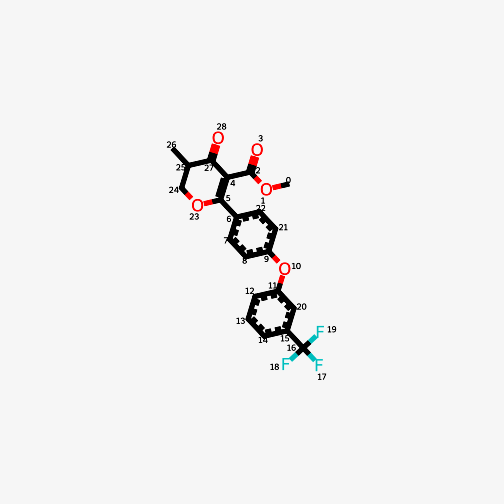 COC(=O)C1=C(c2ccc(Oc3cccc(C(F)(F)F)c3)cc2)OCC(C)C1=O